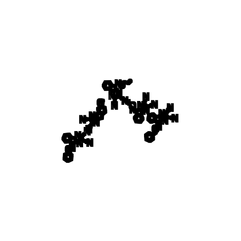 C=CCON=C1c2ccccc2-c2nc(C#N)c(C#N)nc21.CCON=C1c2ccccc2-c2nc(C#N)c(C#N)nc21.COc1ccc2c(c1)-c1nc(C#N)c(C#N)nc1C2.N#Cc1nc2c(nc1C#N)-c1ccccc1C2=NOCc1ccccc1.N#Cc1nc2c(nc1C#N)-c1ccccc1C2=NOc1ccccc1